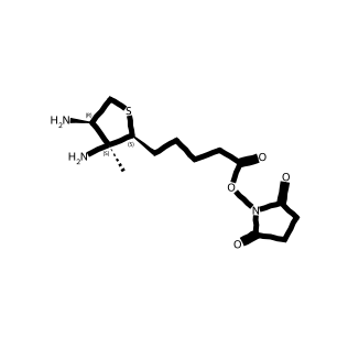 C[C@@]1(N)[C@H](CCCCC(=O)ON2C(=O)CCC2=O)SC[C@@H]1N